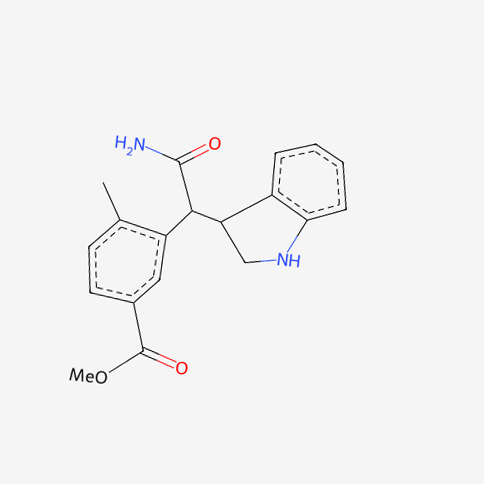 COC(=O)c1ccc(C)c(C(C(N)=O)C2CNc3ccccc32)c1